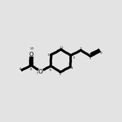 C=CCC1CCC(OC(C)=O)CC1